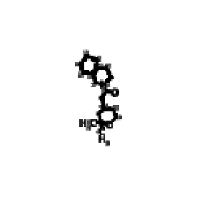 CC1(C)CN(CC(=O)N2CCc3ccccc3C2)CCO1